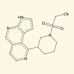 N#CCS(=O)(=O)N1CCCC(c2nccc3cnc4[nH]ccc4c23)C1